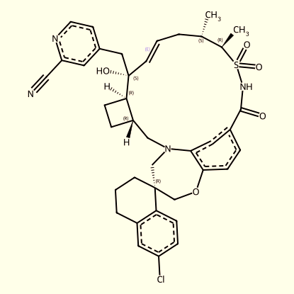 C[C@@H]1[C@@H](C)C/C=C/[C@](O)(Cc2ccnc(C#N)c2)[C@@H]2CC[C@H]2CN2C[C@]3(CCCc4cc(Cl)ccc43)COc3ccc(cc32)C(=O)NS1(=O)=O